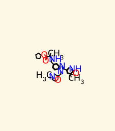 Cc1cc(-c2nc3cc(CNC(C)C(=O)OC4CCCC4)ccc3n2CC2CN(C)CCO2)c[nH]c1=O